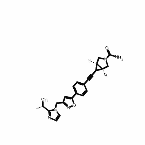 C[C@H](O)c1nccn1Cc1cc(-c2ccc(C#CC3[C@H]4CN(C(N)=O)C[C@@H]34)cc2)on1